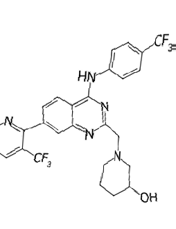 OC1CCCN(Cc2nc(Nc3ccc(C(F)(F)F)cc3)c3ccc(-c4ncccc4C(F)(F)F)cc3n2)C1